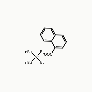 CCCC[N+](CC)(CC)CCCC.O=C([O-])c1cccc2ccccc12